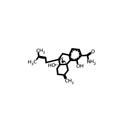 C=C1CC[C@@]2(O)C3Cc4ccc(C(N)=O)c(O)c4[C@@]2(CCN3CC=C(C)C)C1